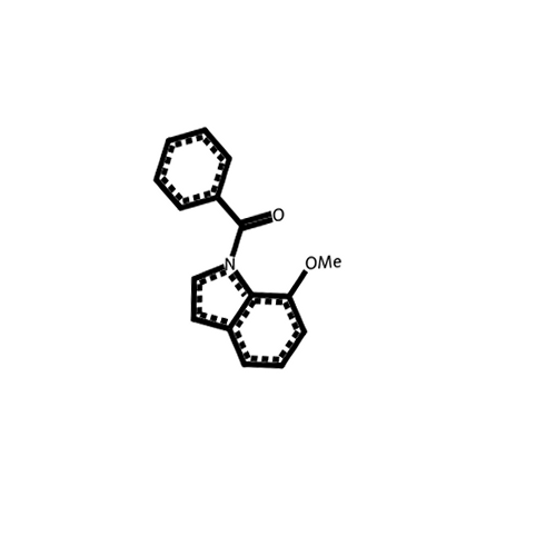 COc1cccc2ccn(C(=O)c3ccccc3)c12